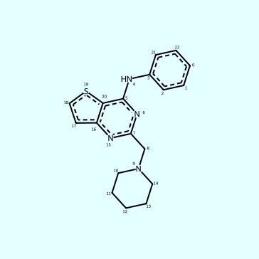 c1ccc(Nc2nc(CN3CCCCC3)nc3ccsc23)cc1